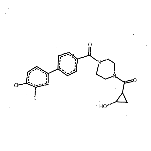 O=C(c1ccc(-c2ccc(Cl)c(Cl)c2)cc1)N1CCN(C(=O)C2CC2O)CC1